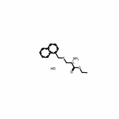 CCOC(=O)[C@@H](N)CSCc1cccc2ccccc12.Cl